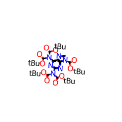 CC(C)(C)OC(=O)N(C(=O)OC(C)(C)C)c1nc(N(C(=O)OC(C)(C)C)C(=O)OC(C)(C)C)c2ncn(C(=O)OC(C)(C)C)c2n1